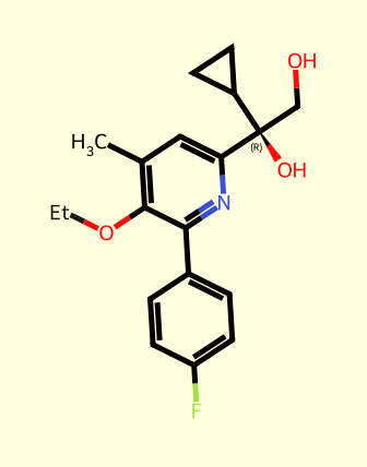 CCOc1c(C)cc([C@@](O)(CO)C2CC2)nc1-c1ccc(F)cc1